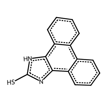 Sc1nc2c3ccccc3c3ccccc3c2[nH]1